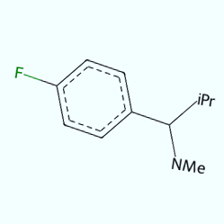 CNC(c1ccc(F)cc1)C(C)C